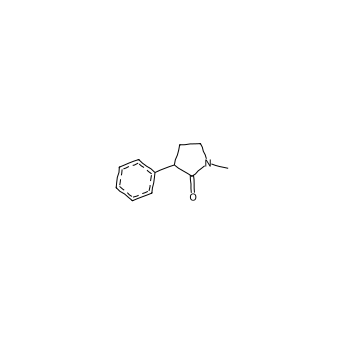 CN1CCC(c2ccccc2)C1=O